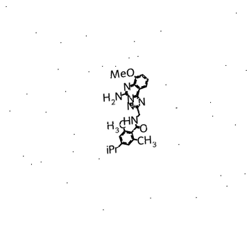 COc1cccc2c1nc(N)n1nc(CNC(=O)c3c(C)cc(C(C)C)cc3C)nc21